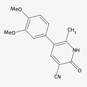 COc1ccc(-c2cc(C#N)c(=O)[nH]c2C)cc1OC